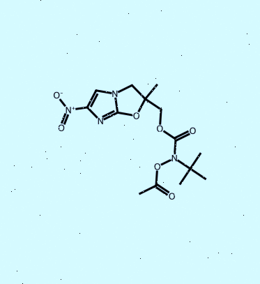 CC(=O)ON(C(=O)OCC1(C)Cn2cc([N+](=O)[O-])nc2O1)C(C)(C)C